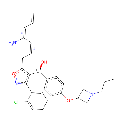 C=C/C=C(N)\C=C/Cc1onc(C2=CCCC=C2Cl)c1[C@@H](O)c1ccc(OC2CN(CCC)C2)cc1